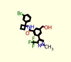 Cn1cc(-c2cc(CO)cc(C(=O)NC3(c4cccc(Br)c4)CCC3)c2)c(C(F)(F)F)n1